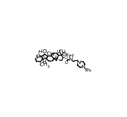 CC(C)N1CCN(CCNC(=O)O[C@H]2CC[C@]34CC35CC[C@]3(C)[C@@H]6C(OCC[C@H]6C)[C@H](O)[C@@]3(C)C5CC[C@H]4C2(C)C)CC1